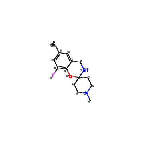 CN1CCC2(CC1)NCc1cc(C(C)(C)C)cc(I)c1O2